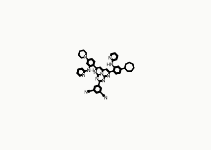 N#Cc1cc(C#N)cc(C2=NC3=NC(c4ccc(C5CCCCCC5)cc4Nc4ccccn4)=CC4=CC(c5ccc(N6CCCCC6)cc5Nc5ccccn5)=NC(=N2)N43)c1